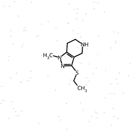 CCSc1nn(C)c2c1CNCC2